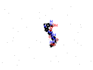 CCN(Cc1ccc(-n2ccc(NC(=O)N3CCN(C(=O)[C@H](C)NC(=O)OC(C)(C)C)CC3)nc2=O)cc1)[C@H]1CC[C@H](NC(=O)O)CC1